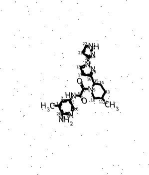 Cc1cc(NC(=O)C(=O)N2CC(C)CCC2c2ccn(-c3cc[nH]n3)n2)cnc1N